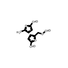 Cc1ccc(C=O)o1.O=COCc1ccc(C=O)o1